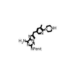 CCCCCc1nc(N)c2nc(Cc3cnc(N4CCNCC4)c(C)c3)cn2n1